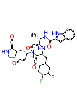 CC(C)[C@H](NC(=O)c1cc2ccccc2[nH]1)C(=C=O)N[C@@H](CC1CCC(F)C(F)C1)C(=C=O)N[C@H](C=C=O)C[C@@H]1CCNC1=C=O